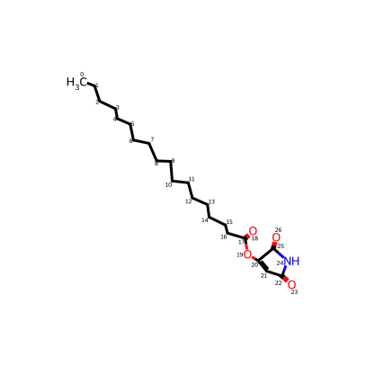 CCCCCCCCCCCCCCCCCC(=O)OC1=CC(=O)NC1=O